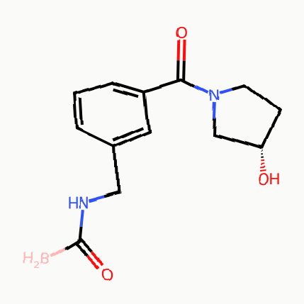 BC(=O)NCc1cccc(C(=O)N2CC[C@H](O)C2)c1